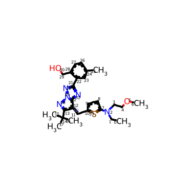 CCN(CCOC)c1ccc(/C=c2/c(C(C)(C)C)nn3nc(-c4cc(C)ccc4CO)nc23)s1